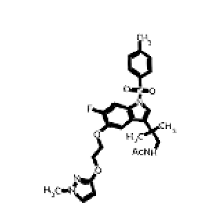 CC(=O)NCC(C)(C)c1cn(S(=O)(=O)c2ccc(C)cc2)c2cc(F)c(OCCOc3ccn(C)n3)cc12